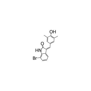 Cc1cc(C=C2C(=O)Nc3c(Br)cccc32)cc(C)c1O